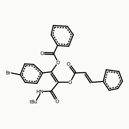 CC(C)(C)NC(=O)C(OC(=O)C=Cc1ccccc1)=C(OC(=O)c1ccccc1)c1ccc(Br)cc1